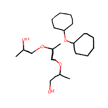 C1CCC(OC2CCCCC2)CC1.CC(O)COC(C)COC(C)CO